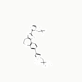 CC(C)(O)Cn1cc(-c2ccc3c(c2)OCCc2sc(-c4nccn4CC(F)(F)F)nc2-3)cn1